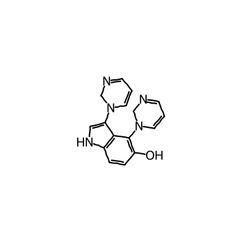 Oc1ccc2[nH]cc(N3C=CC=NC3)c2c1N1C=CC=NC1